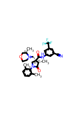 Cc1cccc(C)c1N1C[C@@](CN2CCOC[C@@H]2C)(C(=O)Nc2cc(C#N)cc(C(F)(F)F)c2)[C@H](C)C1=O